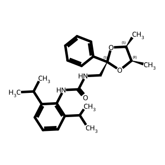 CC(C)c1cccc(C(C)C)c1NC(=O)NC[C@@]1(c2ccccc2)O[C@@H](C)[C@@H](C)O1